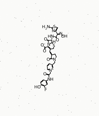 Nc1nc(/C(=N/O)C(=O)N[C@@H]2C(=O)N3C(C(=O)[O-])=C(/C=C4\CCN(Cc5ccc[n+](CC(=O)Nc6ccc(O)c(F)c6)c5)C4=O)CS[C@H]23)cs1